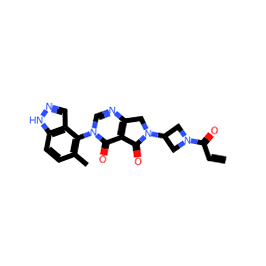 C=CC(=O)N1CC(N2Cc3ncn(-c4c(C)ccc5[nH]ncc45)c(=O)c3C2=O)C1